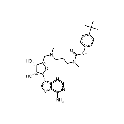 CN(CCCN(C)C(=O)Nc1ccc(C(C)(C)C)cc1)C[C@H]1OC(n2cnc3c(N)ncnc32)[C@H](O)[C@@H]1O